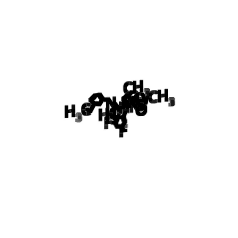 CCCS(=O)(=O)NC1OC(C)=CN1[C@@H](Cc1cc(F)cc(F)c1)[C@H](O)CNCc1cccc(CC)c1